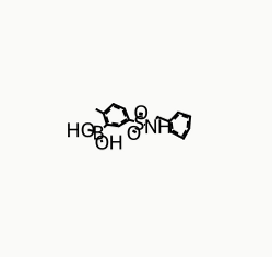 Cc1ccc(S(=O)(=O)NCc2ccccc2)cc1B(O)O